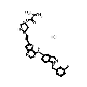 CN(C)C(=O)O[C@@H]1CN[C@H](C#Cc2cc3ncnc(Nc4ccc5c(cnn5Cc5cccc(F)c5)c4)c3s2)C1.Cl